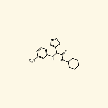 O=C(NC1CCCCC1)C(Nc1cccc([N+](=O)[O-])c1)c1cccs1